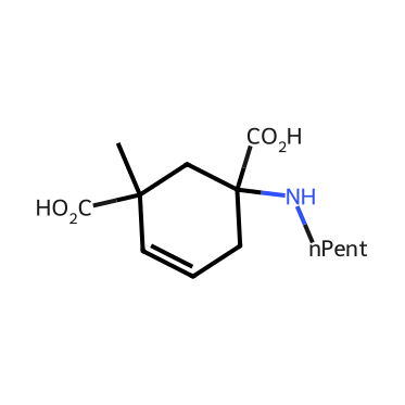 CCCCCNC1(C(=O)O)CC=CC(C)(C(=O)O)C1